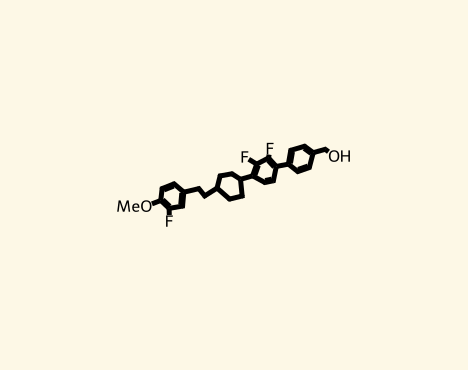 COc1ccc(CCC2CCC(c3ccc(-c4ccc(CO)cc4)c(F)c3F)CC2)cc1F